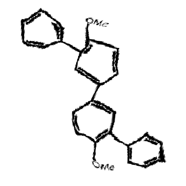 COc1ccc(-c2ccc(OC)c(-c3ccccc3)c2)cc1-c1ccccc1